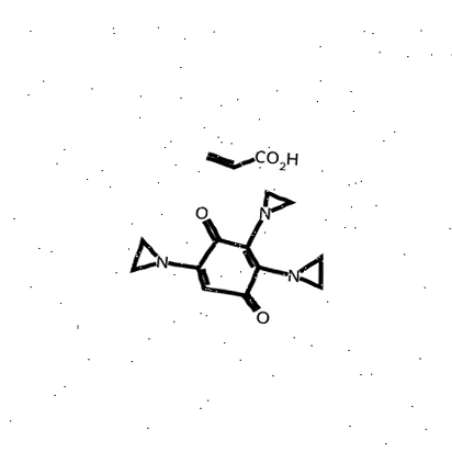 C=CC(=O)O.O=C1C=C(N2CC2)C(=O)C(N2CC2)=C1N1CC1